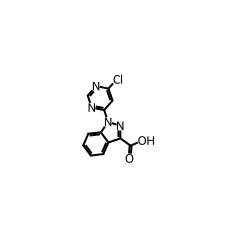 O=C(O)c1nn(-c2cc(Cl)ncn2)c2ccccc12